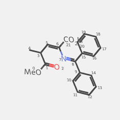 COC(=O)C(C)/C=C(\N=C(c1ccccc1)c1ccccc1)C(=O)O